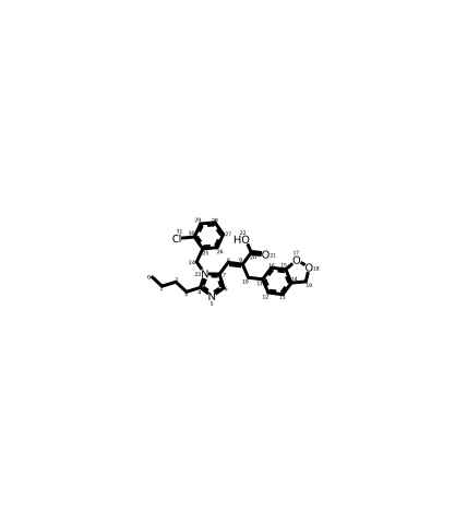 CCCCc1ncc(/C=C(\Cc2ccc3c(c2)OOC3)C(=O)O)n1Cc1ccccc1Cl